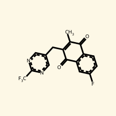 CC1=C(Cc2cnc(C(F)(F)F)nc2)C(=O)c2cc(F)ccc2C1=O